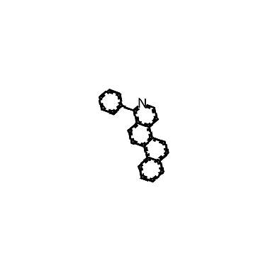 c1ccc(-c2nccc3c2ccc2c4ccccc4ccc32)cc1